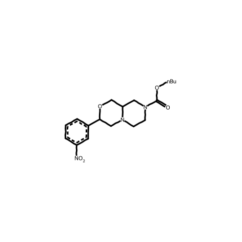 CCCCOC(=O)N1CCN2CC(c3cccc([N+](=O)[O-])c3)OCC2C1